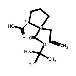 C=CC[N+]1(C(=O)OC(C)(C)C)CCC[C@H]1C(=O)O